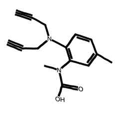 C#CCN(CC#C)c1ccc(C)cc1N(C)C(=O)O